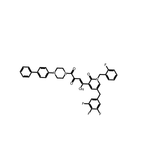 O=C(C=C(O)c1cc(Cc2cc(F)c(F)c(F)c2)cn(Cc2ccccc2F)c1=O)C(=O)N1CCN(c2ccc(-c3ccccc3)cc2)CC1